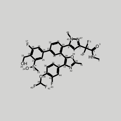 CNC(=O)C(F)(F)c1cc(-c2ccc(-c3cc(F)c(CO)c([S+](C)[O-])c3)cc2-c2oc(C)nc2-c2ccc(OC(F)F)c(F)c2)n(C)n1